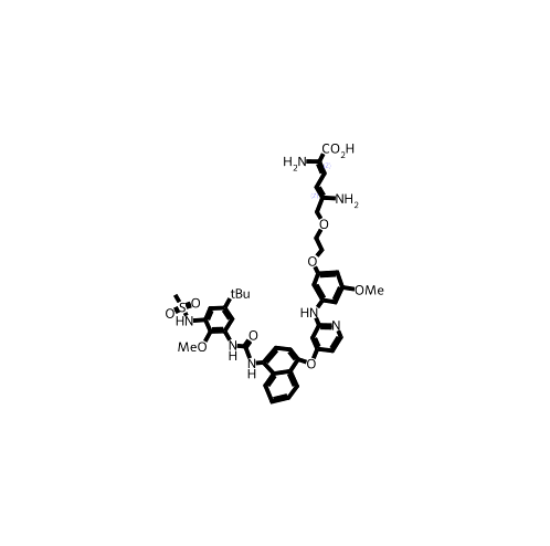 COc1cc(Nc2cc(Oc3ccc(NC(=O)Nc4cc(C(C)(C)C)cc(NS(C)(=O)=O)c4OC)c4ccccc34)ccn2)cc(OCCOC/C(N)=C/C=C(\N)C(=O)O)c1